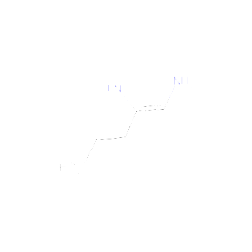 N/C=C(\N)CCC(=O)O